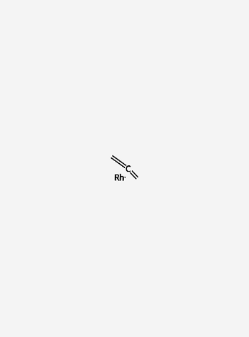 C=C=C.[Rh]